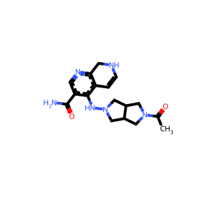 CC(=O)N1CC2CN(Nc3c(C(N)=O)cnc4c3C=CNC4)CC2C1